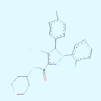 COc1c(C(=O)NC2CCOCC2)nn(-c2ccccc2Cl)c1-c1ccc(C(F)(F)F)cc1